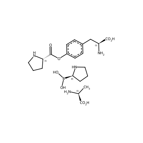 C[C@H](N)C(=O)O.N[C@@H](Cc1ccc(OC(=O)[C@@H]2CCCN2)cc1)C(=O)O.OB(O)[C@@H]1CCCN1